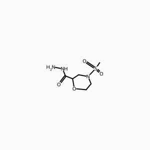 CS(=O)(=O)N1CCOC(C(=O)NN)C1